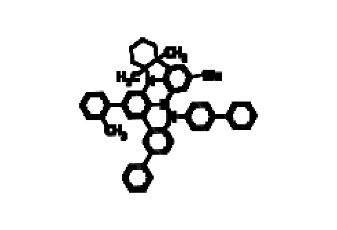 Cc1ccccc1-c1cc2c3c(c1)N1c4c(cc(C(C)(C)C)cc4C4(C)CCCCC14C)B3N(c1ccc(-c3ccccc3)cc1)c1ccc(-c3ccccc3)cc1-2